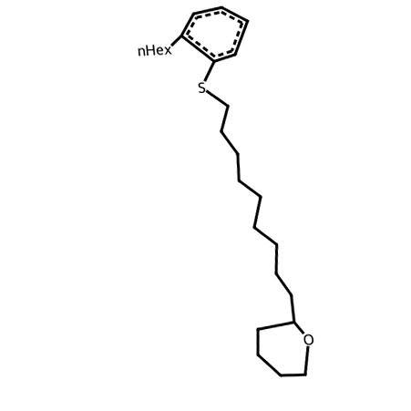 CCCCCCc1ccccc1SCCCCCCCCCC1CCCCO1